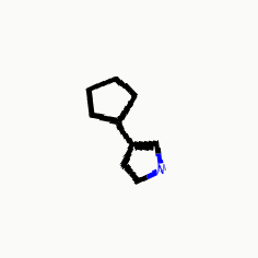 C1=C(C2CCCC2)CC[N]1